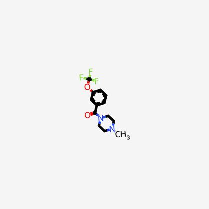 CN1CCN(C(=O)c2cccc(OC(F)(F)F)c2)CC1